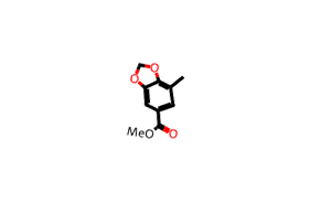 COC(=O)c1cc(C)c2c(c1)OCO2